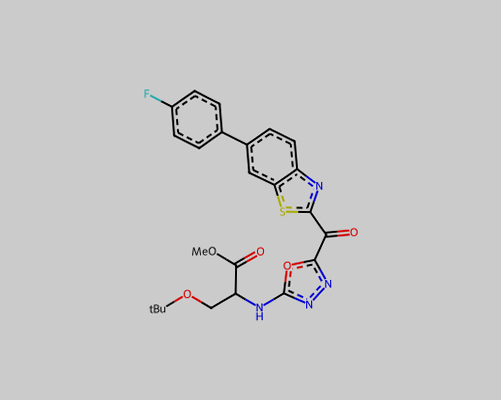 COC(=O)C(COC(C)(C)C)Nc1nnc(C(=O)c2nc3ccc(-c4ccc(F)cc4)cc3s2)o1